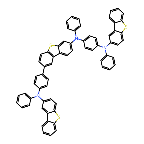 c1ccc(N(c2ccc(N(c3ccccc3)c3ccc4sc5ccccc5c4c3)cc2)c2ccc3c(c2)sc2ccc(-c4ccc(N(c5ccccc5)c5ccc6sc7ccccc7c6c5)cc4)cc23)cc1